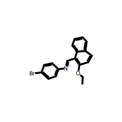 CCOc1ccc2ccccc2c1/C=N/c1ccc(Br)cc1